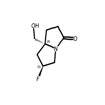 O=C1CC[C@]2(CO)C[C@H](F)CN12